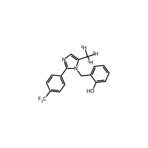 [2H]C([2H])([2H])c1cnc(-c2ccc(C(F)(F)F)cc2)n1Cc1ccccc1O